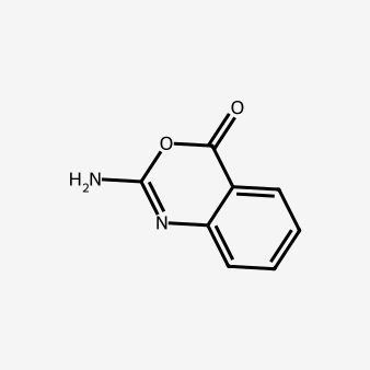 Nc1nc2ccccc2c(=O)o1